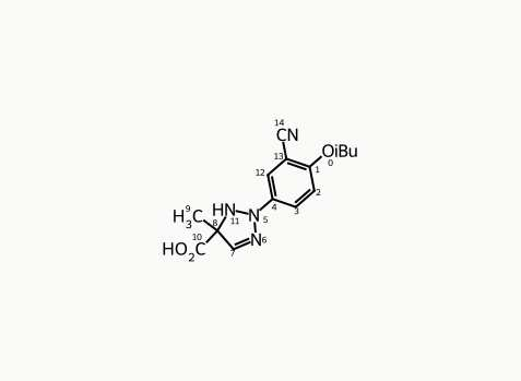 CC(C)COc1ccc(N2N=CC(C)(C(=O)O)N2)cc1C#N